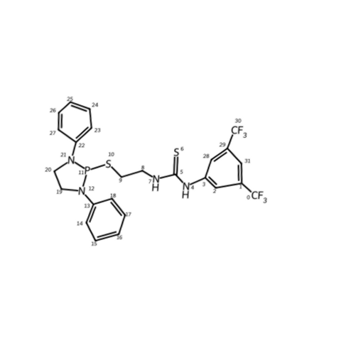 FC(F)(F)c1cc(NC(=S)NCCSP2N(c3ccccc3)CCN2c2ccccc2)cc(C(F)(F)F)c1